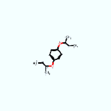 CCC(C)Oc1ccc(OC(C)CC)cc1